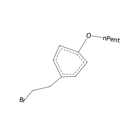 CCCCCOc1ccc(CCBr)cc1